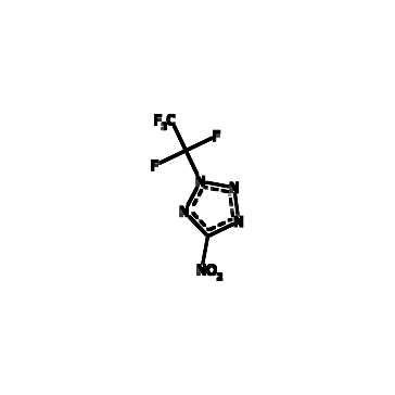 O=[N+]([O-])c1nnn(C(F)(F)C(F)(F)F)n1